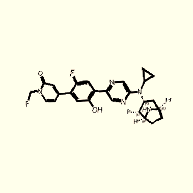 O=c1cc(-c2cc(O)c(-c3cnc(N(C4CC4)[C@@H]4C[C@H]5CC[C@H](N5)[C@@H]4F)cn3)cc2F)ccn1CF